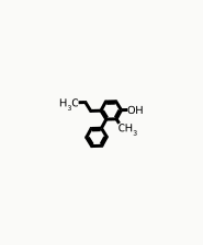 CCCc1ccc(O)c(C)c1-c1ccccc1